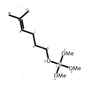 CO[Si](OC)(OC)OCCCC=C(C)C